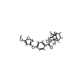 COc1cc(Oc2ccc(C(=O)N[C@@H]3C4CCN(CC4)[C@H]3C)cc2)no1